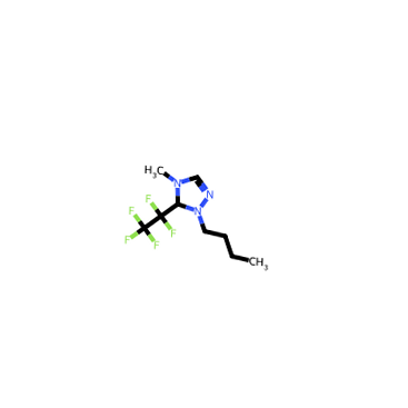 CCCCN1N=CN(C)C1C(F)(F)C(F)(F)F